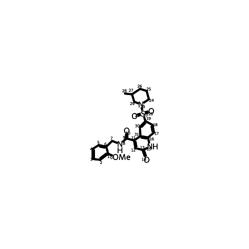 COc1ccccc1CNC(=O)c1cc(=O)[nH]c2ccc(S(=O)(=O)N3CCCC(C)C3)cc12